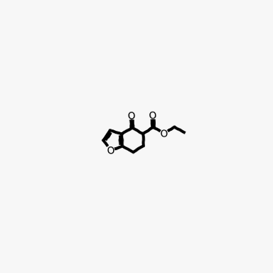 CCOC(=O)C1CCc2occc2C1=O